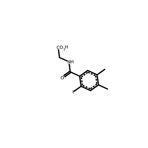 Cc1cc(I)c(C(=O)NCC(=O)O)cc1C